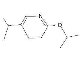 CC(C)Oc1ccc(C(C)C)cn1